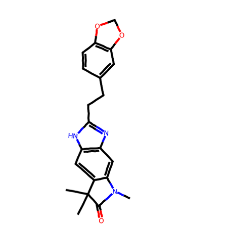 CN1C(=O)C(C)(C)c2cc3[nH]c(CCc4ccc5c(c4)OCO5)nc3cc21